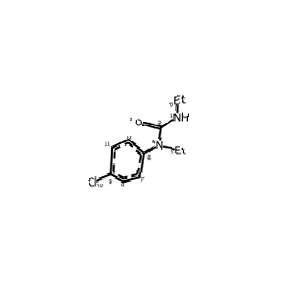 CCNC(=O)N(CC)c1ccc(Cl)cc1